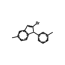 Cc1cccc(C2C(Br)=Cc3cc(C)ccc32)c1